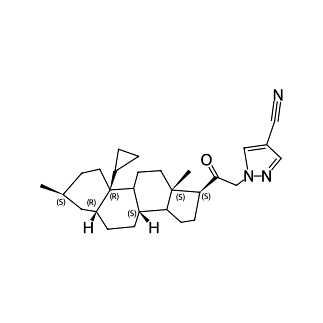 C[C@H]1CC[C@]2(C3CC3)C3CC[C@@]4(C)C(CC[C@@H]4C(=O)Cn4cc(C#N)cn4)[C@@H]3CC[C@@H]2C1